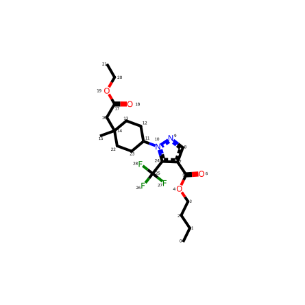 CCCCOC(=O)c1cnn(C2CCC(C)(CC(=O)OCC)CC2)c1C(F)(F)F